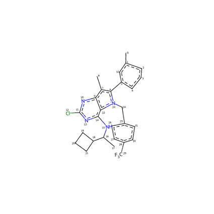 Cc1cccc(-c2c(C)c3nc(Cl)nc(NC(C)C4CCC4)c3n2Cc2ccc(C(F)(F)F)cc2)c1